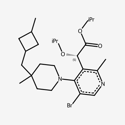 Cc1ncc(Br)c(N2CCC(C)(CC3CC(C)C3)CC2)c1[C@H](OC(C)C)C(=O)OC(C)C